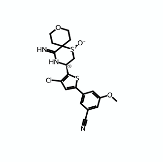 COc1cc(C#N)cc(-c2cc(Cl)c([C@@H]3C[S+]([O-])C4(CCOCC4)C(=N)N3)s2)c1